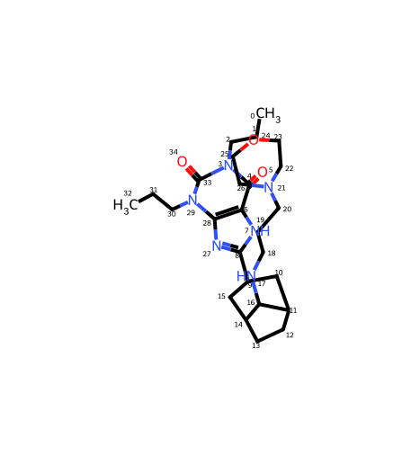 CCCn1c(=O)c2[nH]c(C3CC4CCC(C3)C4NCCCN3CCOCC3)nc2n(CCC)c1=O